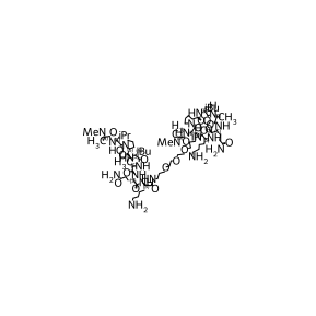 CC[C@H](C)[C@H](NC(=O)C1CCCN1C(=O)[C@@H](NC(=O)[C@H](C)NC)C(C)C)C(=O)N[C@@H](C)C(=O)N[C@@H](CCC(N)=O)C(=O)N[C@@H](CCCCN)C(=O)NCCCOCCOCCOCCCNC(=O)[C@H](CCCCN)NC(=O)[C@H](CCC(N)=O)NC(=O)[C@H](C)NC(=O)[C@@H](NC(=O)[C@@H]1CCCN1C(=O)[C@@H](NC(=O)[C@H](C)NC)C(C)C)[C@@H](C)CC